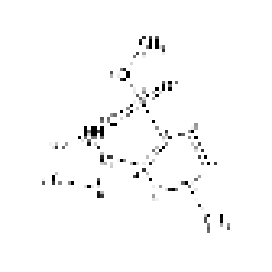 COS(=O)(=O)c1ccc(C)cc1C1COCN1